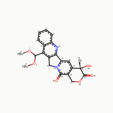 CCCCOC(OCCCC)c1c2c(nc3ccccc13)-c1cc3c(c(=O)n1C2)COC(=O)[C@]3(O)CC